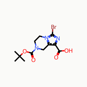 CC(C)(C)OC(=O)N1CCn2c(Br)nc(C(=O)O)c2C1